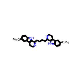 COc1ccc2[nH]c3c(c2c1)CCN=C3CCCCC1=NCCc2c1[nH]c1ccc(OC)cc21